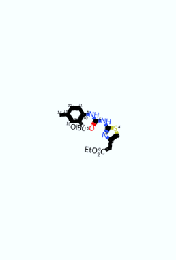 CCOC(=O)Cc1csc(NC(=O)Nc2ccc(C)cc2OCC(C)C)n1